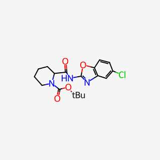 CC(C)(C)OC(=O)N1CCCCC1C(=O)Nc1nc2cc(Cl)ccc2o1